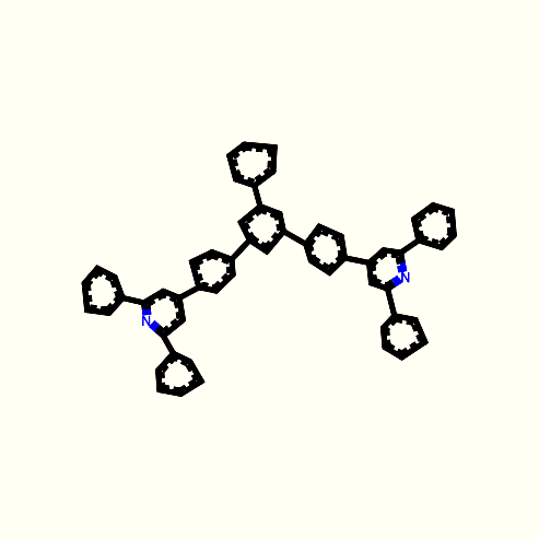 c1ccc(-c2cc(-c3ccc(-c4cc(-c5ccccc5)nc(-c5ccccc5)c4)cc3)cc(-c3ccc(-c4cc(-c5ccccc5)nc(-c5ccccc5)c4)cc3)c2)cc1